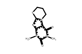 Cn1c(=O)c2c(nc3n2CCCS3)n(C)c1=O